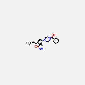 C=CCC(/C=C\CN1CCN(C(O)C2CCCCC2)CC1)C1(C(N)=O)CC1